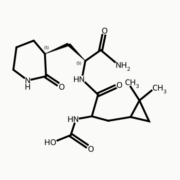 CC1(C)CC1CC(NC(=O)O)C(=O)N[C@@H](C[C@@H]1CCCNC1=O)C(N)=O